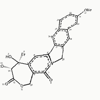 CC[C@]1(O)c2cc3n(c(=O)c2COC(=O)[C@@H]1OC(C)=O)Cc1cc2cc(OC)ccc2nc1-3